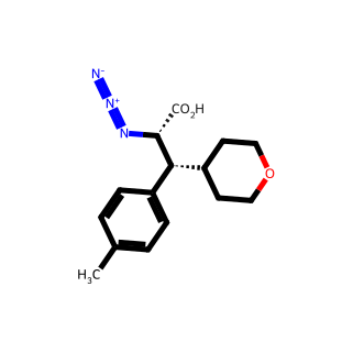 Cc1ccc([C@@H](C2CCOCC2)[C@H](N=[N+]=[N-])C(=O)O)cc1